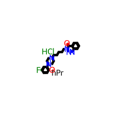 CCCOc1ccc(F)cc1N1CCN(CCCCCn2nnc3ccccc3c2=O)CC1.Cl